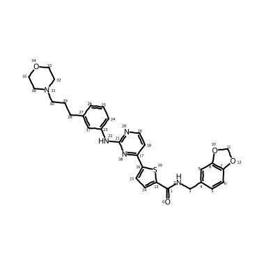 O=C(NCc1ccc2c(c1)OCO2)c1ccc(-c2ccnc(Nc3cccc(CCCN4CCOCC4)c3)n2)s1